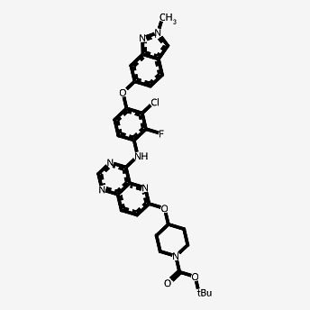 Cn1cc2ccc(Oc3ccc(Nc4ncnc5ccc(OC6CCN(C(=O)OC(C)(C)C)CC6)nc45)c(F)c3Cl)cc2n1